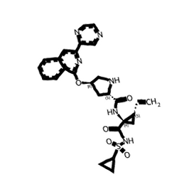 C=C[C@@H]1C[C@]1(NC(=O)[C@@H]1C[C@@H](Oc2nc(-c3cnccn3)cc3ccccc23)CN1)C(=O)NS(=O)(=O)C1CC1